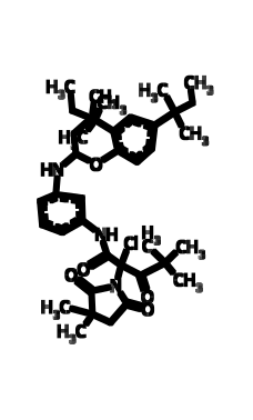 CCCC(Nc1cccc(NC(=O)C(Cl)(C(=O)C(C)(C)C)N2C(=O)CC(C)(C)C2=O)c1)Oc1ccc(C(C)(C)CC)cc1C(C)(C)CC